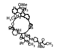 C=CC(=O)N(CCCC)[C@H]1CCN(C(=O)N(C)[C@H](C(=O)N[C@H]2Cc3nc(cs3)-c3ccc4c(c3)c(c(-c3cccnc3[C@H](C)OC)n4CC)CC(C)(C)COC(=O)[C@@]3(O)CCCN(N3)C2=O)C(C)C)C1